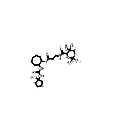 CCCCCCCCC1(NC(=O)NC2CCCCCC2OC(=O)CCNC(=O)C2OC(C)(C)OCC2(C)C)CCCC1